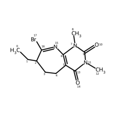 CCC1CCc2c(n(C)c(=O)n(C)c2=O)N=C1Br